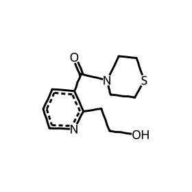 O=C(c1cccnc1CCO)N1CCSCC1